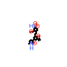 COCc1cc(NS(C)(=O)=O)ccc1/C=C/c1cc(-c2ccc(C)[nH]c2=O)cc(C(C)(C)C)c1OC